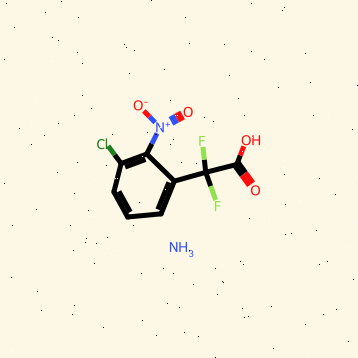 N.O=C(O)C(F)(F)c1cccc(Cl)c1[N+](=O)[O-]